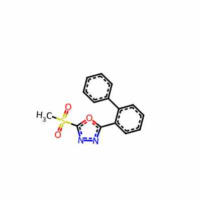 CS(=O)(=O)c1nnc(-c2ccccc2-c2ccccc2)o1